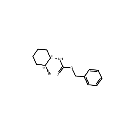 O=C(N[C@H]1CCCC[C@@H]1Br)OCc1ccccc1